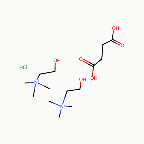 C[N+](C)(C)CCO.C[N+](C)(C)CCO.Cl.O=C(O)CCC(=O)O